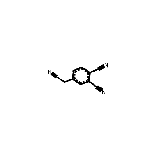 N#CCc1ccc(C#N)c(C#N)c1